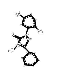 Cc1ccc(C)c(-n2nc(-c3ccccc3)n(C)c2=O)c1